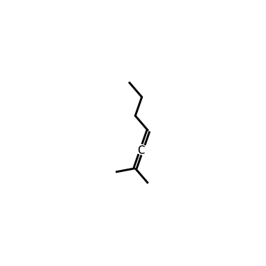 CCCC=C=C(C)C